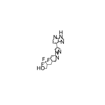 OCC(Cc1ccc(-n2cc(-c3ccnc4[nH]cnc34)cn2)nc1)C(F)(F)F